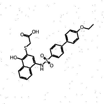 CCOc1ccc(-c2ccc(S(=O)(=O)Nc3cc(SCC(=O)O)c(O)c4ccccc34)cc2)cc1